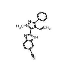 C=Cc1c(-c2ccccc2)nn(C)c1-c1nc2ccc(C#N)cc2[nH]1